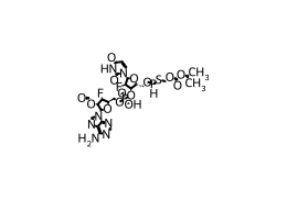 CC(C)OC(=O)OCSPOC[C@H]1O[C@@H](n2ccc(=O)[nH]c2=O)[C@H](F)[C@@H]1OP(=O)(O)OC[C@H]1O[C@@H](n2cnc3c(N)ncnc32)[C@H](OC=O)[C@@H]1F